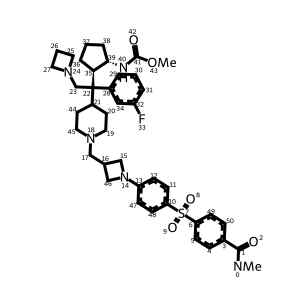 CNC(=O)c1ccc(S(=O)(=O)c2ccc(N3CC(CN4CCC(C(CN5CCC5)(c5cccc(F)c5)[C@H]5CCC[C@@H]5NC(=O)OC)CC4)C3)cc2)cc1